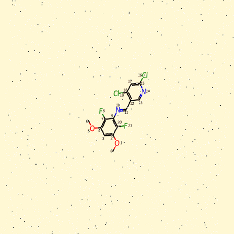 COc1cc(OC)c(F)c(N=Cc2cnc(Cl)cc2Cl)c1F